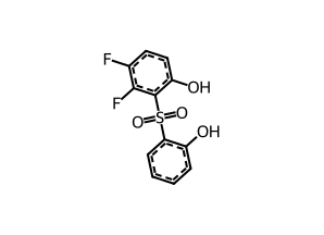 O=S(=O)(c1ccccc1O)c1c(O)ccc(F)c1F